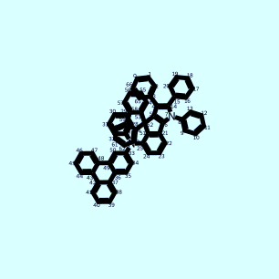 c1ccc(-c2c3c(n(-c4ccccc4)c2-c2ccccc2)-c2cccc(N(c4ccccc4)c4ccc5c6ccccc6c6ccccc6c5c4)c2C32c3ccccc3-c3ccccc32)cc1